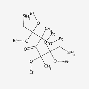 CCOC(C[SiH3])(OCC)C(C)(OCC)C(=O)C(C)(OCC)C(C[SiH3])(OCC)OCC